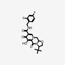 CC(C)(C)C1COC2Cn3cc(C(=O)NCc4ccc(F)cc4F)c(=O)c(O)c3C(=O)N21